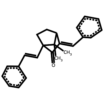 CC1(C)C2CCC1(C=Cc1ccccc1)C(=O)C2=Cc1ccccc1